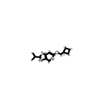 CC(C)c1nc2cnc(OCC3CCC3)cc2s1